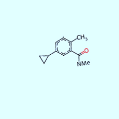 CNC(=O)c1cc(C2CC2)c[c]c1C